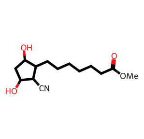 COC(=O)CCCCCCC1C(O)CC(O)C1C#N